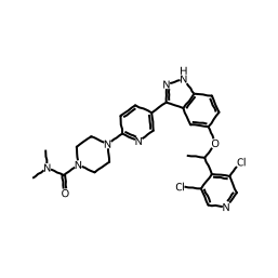 CC(Oc1ccc2[nH]nc(-c3ccc(N4CCN(C(=O)N(C)C)CC4)nc3)c2c1)c1c(Cl)cncc1Cl